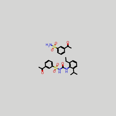 CC(=O)c1cccc(S(N)(=O)=O)c1.CCc1cccc(C(C)C)c1NC(=O)NS(=O)(=O)c1cccc(C(C)=O)c1